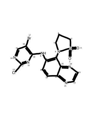 O=S1(=O)CCCN1c1c(Nc2nc(Cl)ncc2Br)ccc2nccnc12